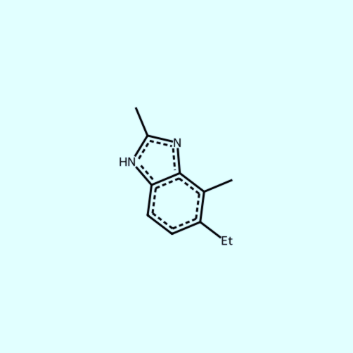 CCc1ccc2[nH]c(C)nc2c1C